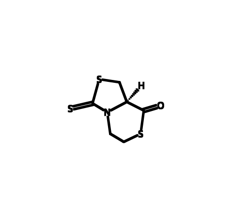 O=C1SCCN2C(=S)SC[C@@H]12